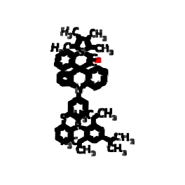 CC1=C(C)[Si]2(C(C)=C1C)c1ccccc1C1(c3ccccc3N(c3ccc4c(c3)Sc3ccccc3B4c3c(C(C)C)cc(C(C)C)cc3C(C)C)c3ccccc31)c1ccccc12